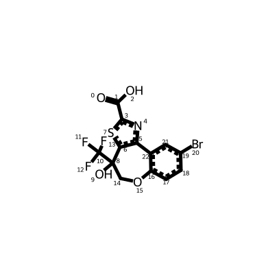 O=C(O)c1nc2c(s1)C(O)(C(F)(F)F)COc1ccc(Br)cc1-2